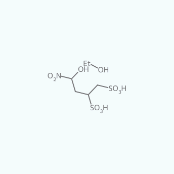 CCO.O=[N+]([O-])C(O)CC(CS(=O)(=O)O)S(=O)(=O)O